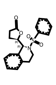 O=C1CC[C@H]([C@H]2c3ccccc3CCN2S(=O)(=O)c2ccccc2)O1